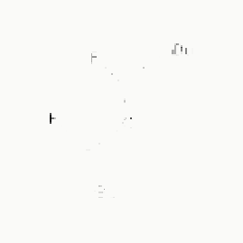 CCCCC(F)OC(F)CCCC